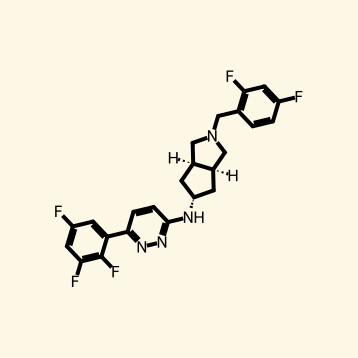 Fc1ccc(CN2C[C@H]3C[C@H](Nc4ccc(-c5cc(F)cc(F)c5F)nn4)C[C@H]3C2)c(F)c1